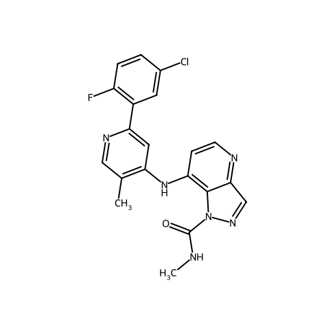 CNC(=O)n1ncc2nccc(Nc3cc(-c4cc(Cl)ccc4F)ncc3C)c21